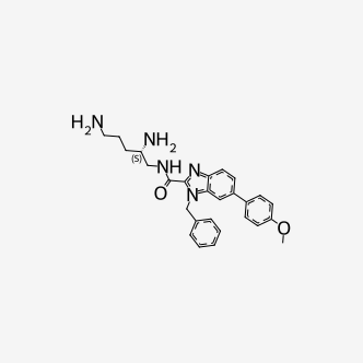 COc1ccc(-c2ccc3nc(C(=O)NC[C@@H](N)CCCN)n(Cc4ccccc4)c3c2)cc1